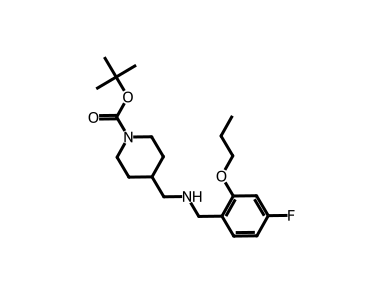 CCCOc1cc(F)ccc1CNCC1CCN(C(=O)OC(C)(C)C)CC1